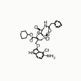 Bc1ccc2[nH]cc(OCC3=C(C(=O)OC4CCCCC4)N4C(=O)C(NC(=O)Cc5ccccc5)C4S(=O)(=O)C3)c2c1Cl